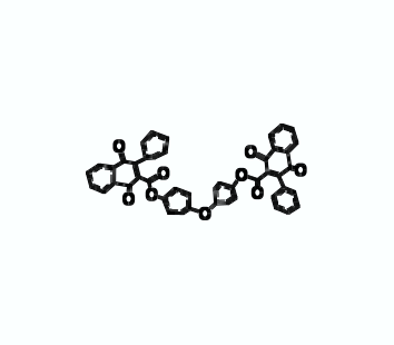 O=C(Oc1ccc(Oc2ccc(OC(=O)C3=C(c4ccccc4)C(=O)c4ccccc4C3=O)cc2)cc1)C1=C(c2ccccc2)C(=O)c2ccccc2C1=O